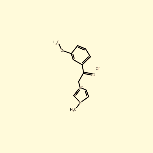 COc1cccc(C(=O)C[n+]2ccn(C)c2)c1.[Cl-]